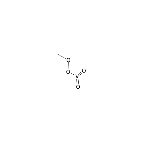 CO[O][V](=[O])=[O]